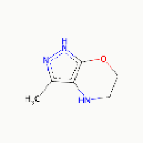 Cc1n[nH]c2c1NCCO2